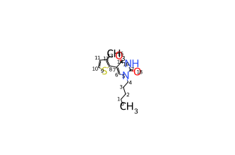 CCCCCn1cc(-c2sccc2C)c(=O)[nH]c1=O